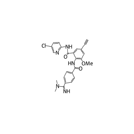 C#Cc1cc(OC)c(NC(=O)c2ccc(C(=N)N(C)C)cc2)c(C(=O)Nc2ccc(Cl)cn2)c1